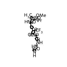 COC(=O)N[C@H](C(=O)N1C[C@@H](C)C[C@H]1c1nc(-c2ccc(-c3cc(Cl)c(NC(=O)c4ccc(NCCNC(=O)c5c[nH]cn5)nc4)cc3OC(F)(F)F)cc2)c[nH]1)C(C)C